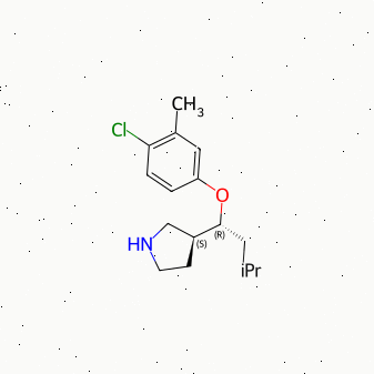 Cc1cc(O[C@H](CC(C)C)[C@H]2CCNC2)ccc1Cl